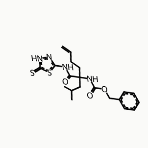 C=CCCC(CC(C)C)(NC(=O)OCc1ccccc1)C(=O)Nc1n[nH]c(=S)s1